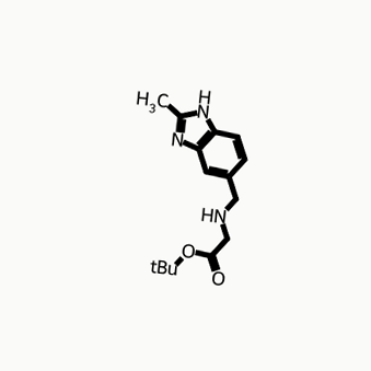 Cc1nc2cc(CNCC(=O)OC(C)(C)C)ccc2[nH]1